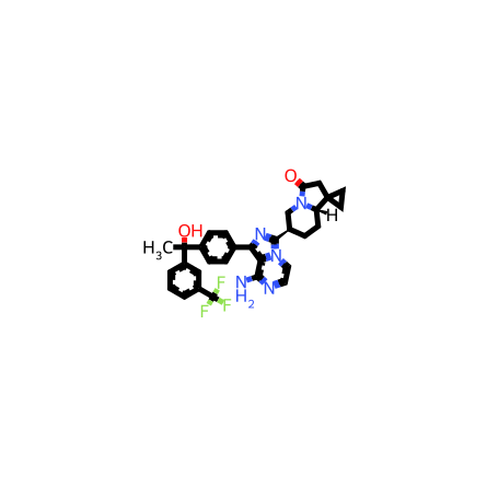 CC(O)(c1ccc(-c2nc([C@@H]3CC[C@@H]4N(C3)C(=O)CC43CC3)n3ccnc(N)c23)cc1)c1cccc(C(F)(F)F)c1